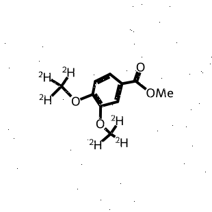 [2H]C([2H])([2H])Oc1ccc(C(=O)OC)cc1OC([2H])([2H])[2H]